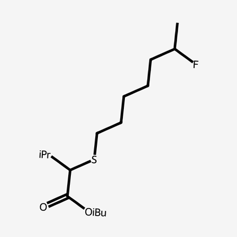 CC(C)COC(=O)C(SCCCCCC(C)F)C(C)C